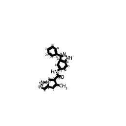 Cc1cc2cnnn2cc1C(=O)Nc1ccc2[nH]nc(-c3ccccc3)c2c1